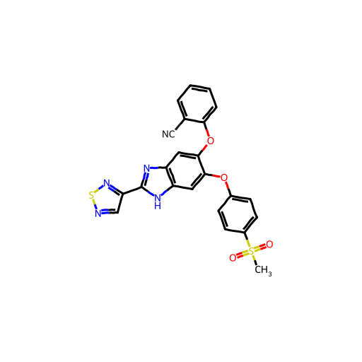 CS(=O)(=O)c1ccc(Oc2cc3[nH]c(-c4cnsn4)nc3cc2Oc2ccccc2C#N)cc1